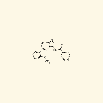 O=C(Nc1cnn2ccc(-c3ccccc3OC(F)(F)F)nc12)c1ccncc1